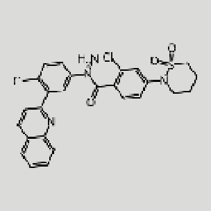 NN(C(=O)c1ccc(N2CCCCS2(=O)=O)cc1Cl)c1ccc(Cl)c(-c2ccc3ccccc3n2)c1